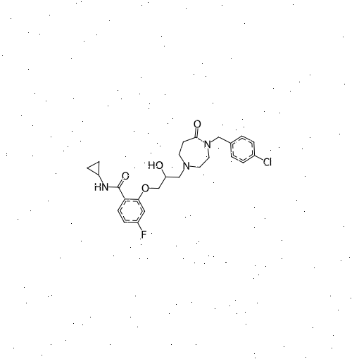 O=C(NC1CC1)c1ccc(F)cc1OCC(O)CN1CCC(=O)N(Cc2ccc(Cl)cc2)CC1